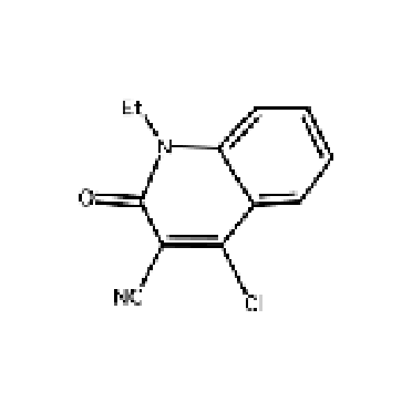 CCn1c(=O)c(C#N)c(Cl)c2ccccc21